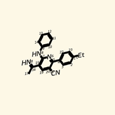 CCc1ccc(-c2nc(Nc3ccccc3)c(C(C)=N)cc2C#N)cc1